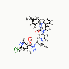 Cc1cc(Cl)nc(C)c1C(=O)NCCC(C)N1CCC(N(Cc2ccccc2)C(=O)Nc2ccc(C#N)cc2)CC1